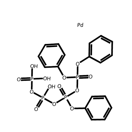 O=P(O)(O)OP(=O)(O)OP(=O)(Oc1ccccc1)OP(=O)(Oc1ccccc1)Oc1ccccc1.[Pd]